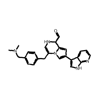 CN(C)Cc1ccc(CC2=CNC(C=O)c3cc(-c4c[nH]c5ncccc45)cn32)cc1